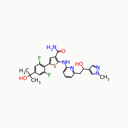 Cn1cc(C(O)Cc2cccc(Nc3sc(-c4c(F)cc(C(C)(C)O)cc4F)cc3C(N)=O)n2)cn1